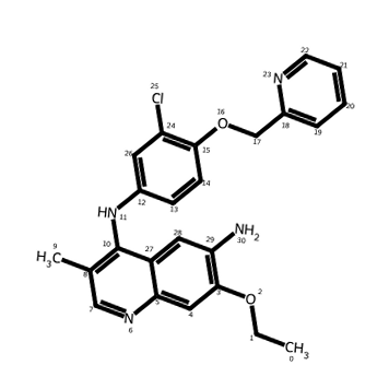 CCOc1cc2ncc(C)c(Nc3ccc(OCc4ccccn4)c(Cl)c3)c2cc1N